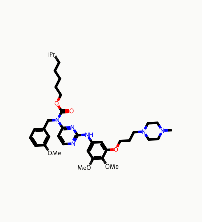 COc1cccc(CN(C(=O)OCCCCCC(C)C)c2ccnc(Nc3cc(OC)c(OC)c(OCCCN4CCN(C)CC4)c3)n2)c1